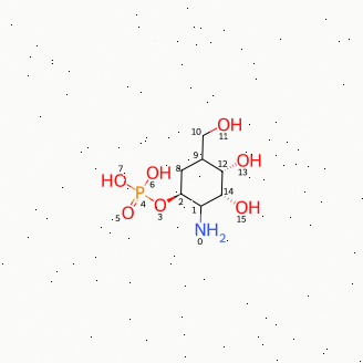 NC1[C@@H](OP(=O)(O)O)CC(CO)[C@H](O)[C@@H]1O